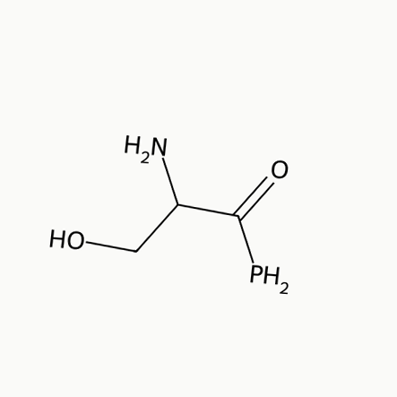 NC(CO)C(=O)P